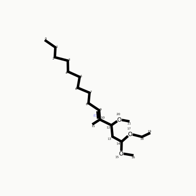 CCCCCCCCC/C=C(\C)C(CC(OC)OCC)OC